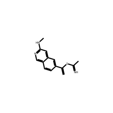 C=C(SC(C)=N)c1ccc2cnc(NC)cc2c1